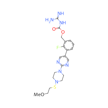 COCCSN1CCN(c2ncc(-c3cccc(COC(=O)NC(=N)N)c3F)cn2)CC1